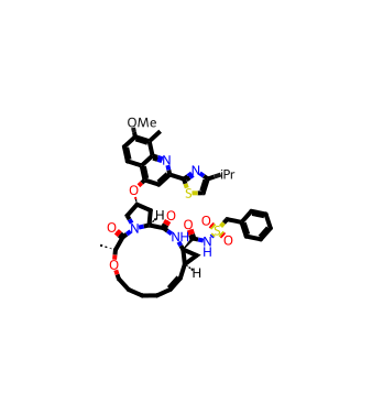 COc1ccc2c(O[C@@H]3C[C@H]4C(=O)N[C@]5(C(=O)NS(=O)(=O)Cc6ccccc6)C[C@H]5/C=C\CCCCO[C@H](C)C(=O)N4C3)cc(-c3nc(C(C)C)cs3)nc2c1C